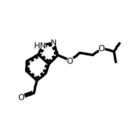 CC(C)OCCOc1n[nH]c2ccc(C=O)cc12